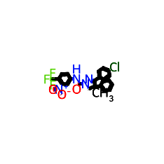 CC1(c2ccccc2)CN(C(=O)Nc2ccc(C(F)(F)F)c([N+](=O)[O-])c2)N=C1c1ccc(Cl)cc1